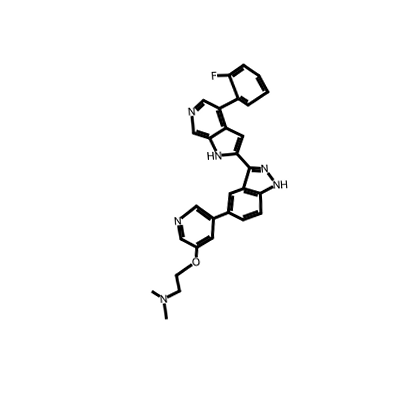 CN(C)CCOc1cncc(-c2ccc3[nH]nc(-c4cc5c(-c6ccccc6F)cncc5[nH]4)c3c2)c1